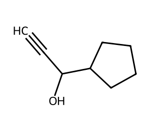 C#CC(O)C1CCCC1